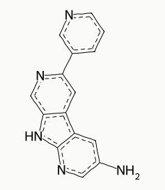 Nc1cnc2[nH]c3cnc(-c4cccnc4)cc3c2c1